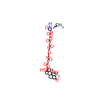 C/C=C/C[C@H]1NC(=O)C[C@@H]1OC(=O)OCOC(=O)CCC(=O)OCCOCCOC(=O)CCC(=O)OCC(=O)[C@@]1(O)CCC2C3CCC4=CC(=O)C=C[C@]4(C)C3[C@@H](O)C[C@@]21C